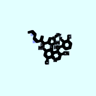 C=C(/C=C\C=C/C)[C@H](Nc1cc(Cl)c2ncc(C#N)c(Nc3cccc(Cl)c3F)c2c1)C1=CN(C(C)C)NN1